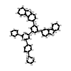 c1ccc(-c2nc(-c3ccc(-c4ncccn4)cc3)cc(-c3cc(-c4ccc5oc6ccccc6c5c4)cc(-c4ccc5oc6ccccc6c5c4)c3)n2)cc1